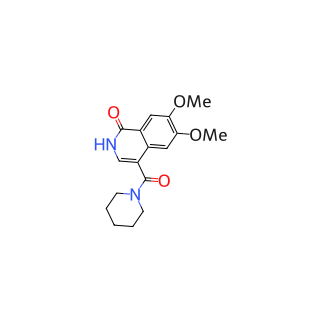 COc1cc2c(C(=O)N3CCCCC3)c[nH]c(=O)c2cc1OC